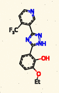 CCOc1cccc(-c2nc(-c3cnccc3C(F)(F)F)n[nH]2)c1O